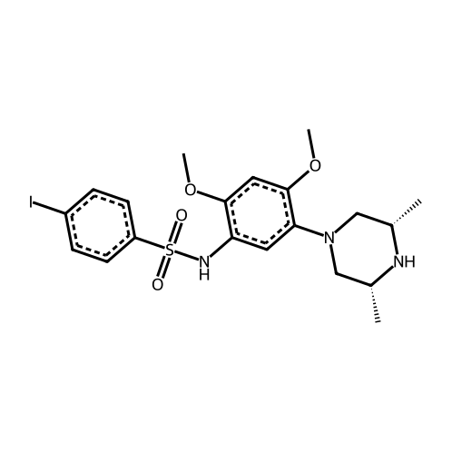 COc1cc(OC)c(N2C[C@@H](C)N[C@@H](C)C2)cc1NS(=O)(=O)c1ccc(I)cc1